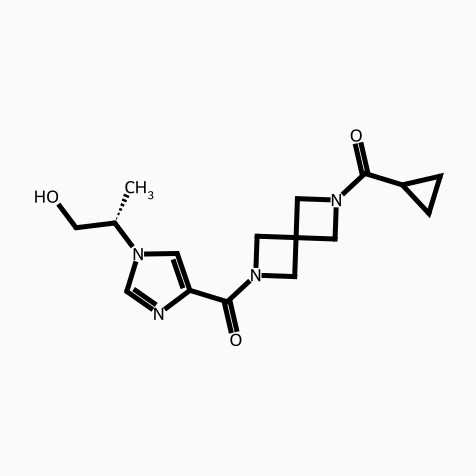 C[C@@H](CO)n1cnc(C(=O)N2CC3(C2)CN(C(=O)C2CC2)C3)c1